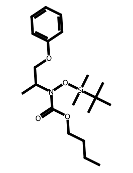 CCCCOC(=O)N(O[Si](C)(C)C(C)(C)C)C(C)COc1ccccc1